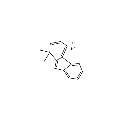 C[C]1([Ti])C=CC=C2C1=Cc1ccccc12.Cl.Cl